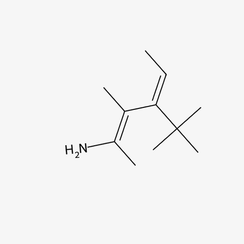 C/C=C(\C(C)=C(/C)N)C(C)(C)C